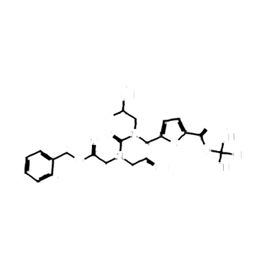 C=CCN(CC(=O)OCc1ccccc1)C(=O)N(Cc1ccc(C(=O)OC(C)(C)C)s1)CC(C)C